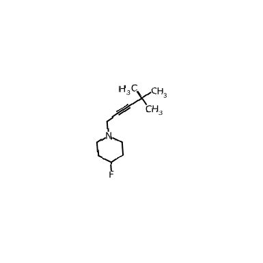 CC(C)(C)C#CCN1CCC(F)CC1